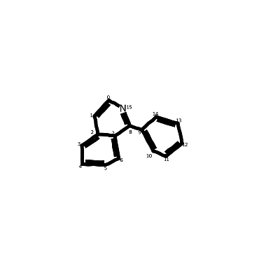 [c]1cc2ccccc2c(-c2ccccc2)n1